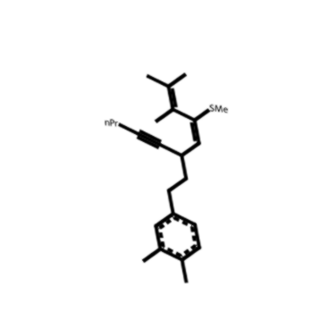 CCCC#CC(/C=C(/SC)C(C)=C(C)C)CCc1ccc(C)c(C)c1